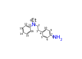 CCN(CCc1ccc(N)cc1)c1ccccc1